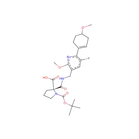 COc1nc(C2=CCC(OC)CC2)c(F)cc1CNC(=O)[C@]1(C(=O)O)CCCN1C(=O)OC(C)(C)C